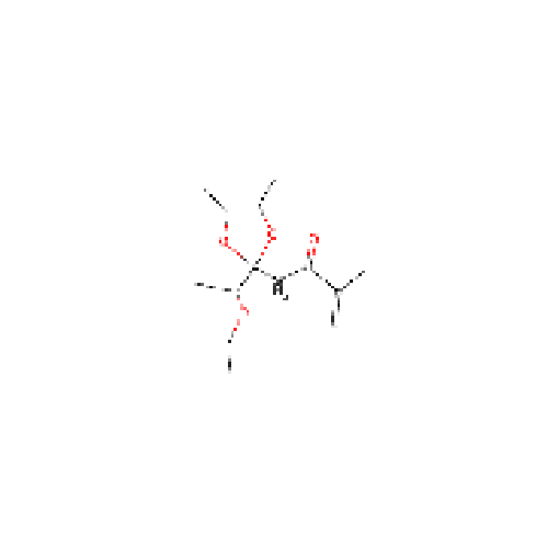 C=C(C)C(=O)[SiH2]C(OCC)(OCC)C(C)OCC